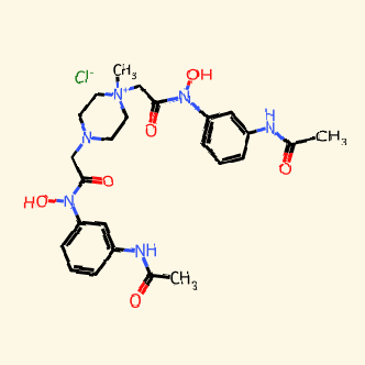 CC(=O)Nc1cccc(N(O)C(=O)CN2CC[N+](C)(CC(=O)N(O)c3cccc(NC(C)=O)c3)CC2)c1.[Cl-]